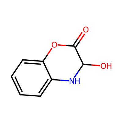 O=C1Oc2ccccc2NC1O